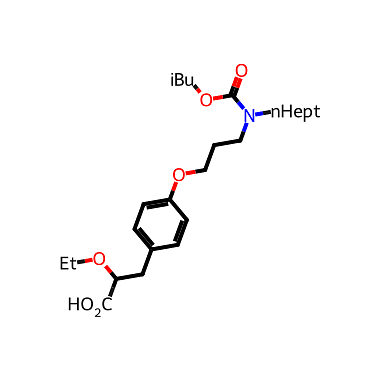 CCCCCCCN(CCCOc1ccc(CC(OCC)C(=O)O)cc1)C(=O)OC(C)CC